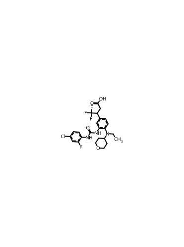 CCN(c1ccc(C(CC(=O)O)C(F)(F)F)cc1NC(=O)Nc1ccc(Cl)cc1F)C1CCOCC1